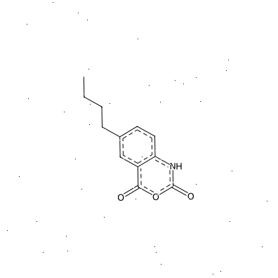 CCCCc1ccc2[nH]c(=O)oc(=O)c2c1